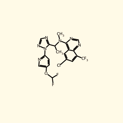 CC(c1ncnn1-c1ccc(OC(F)F)cn1)N(C)c1ncnc2c(C(F)(F)F)cc(Cl)cc12